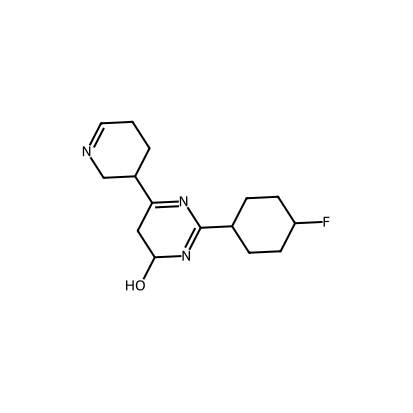 OC1CC(C2CCC=NC2)=NC(C2CCC(F)CC2)=N1